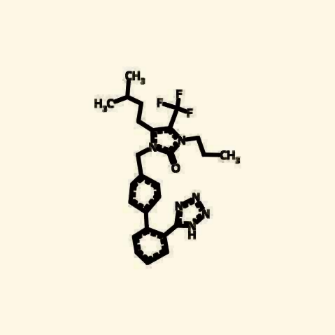 CCCn1c(C(F)(F)F)c(CCC(C)C)n(Cc2ccc(-c3ccccc3-c3nnn[nH]3)cc2)c1=O